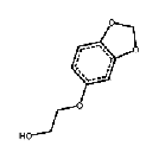 OCCOc1[c]c2c(cc1)OCO2